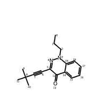 CCCn1nc(C#CC(C)(C)C)c(=O)c2ccccc21